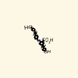 O=S(=O)(O)c1cc(N=Nc2ccc(O)cc2)ccc1/C=C/c1ccc(N=Nc2ccc(O)cc2)cc1